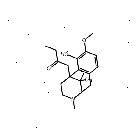 CCC(=O)CC12CCN(C)C(Cc3ccc(OC)c(O)c31)C2(C)O